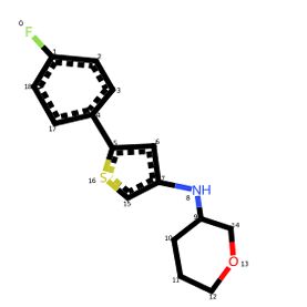 Fc1ccc(-c2cc(NC3CCCOC3)cs2)cc1